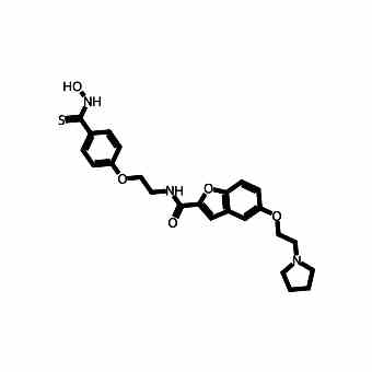 O=C(NCCOc1ccc(C(=S)NO)cc1)c1cc2cc(OCCN3CCCC3)ccc2o1